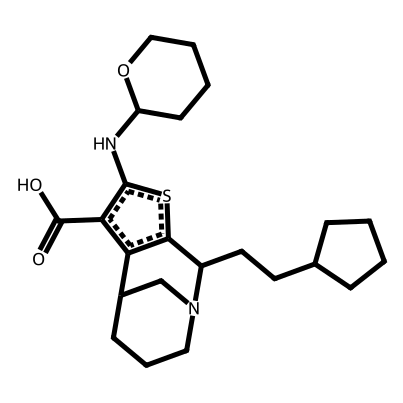 O=C(O)c1c(NC2CCCCO2)sc2c1C1CCCN(C1)C2CCC1CCCC1